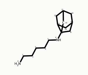 NCCCCCNC12CC3CC(CC1C3)C2